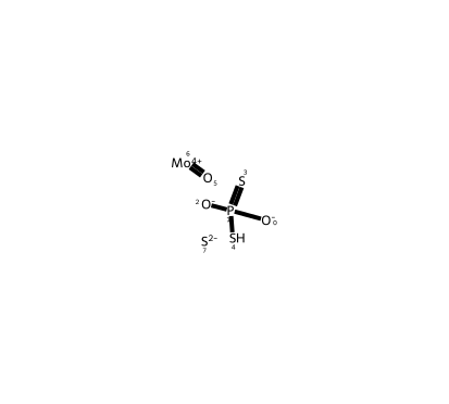 [O-]P([O-])(=S)S.[O]=[Mo+4].[S-2]